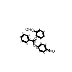 O=Cc1ccccc1.O=Nc1ccc(OC(=O)c2ccccc2)cc1